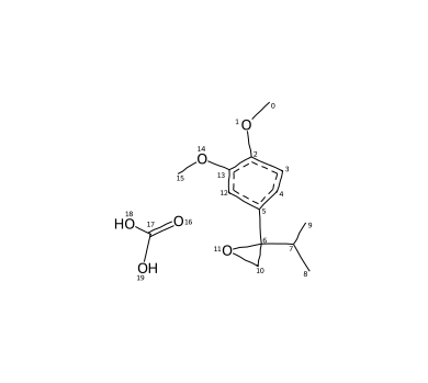 COc1ccc(C2(C(C)C)CO2)cc1OC.O=C(O)O